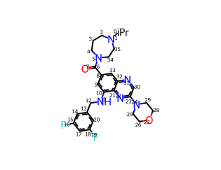 CC(C)N1CCCN(C(=O)c2cc(NCc3cc(F)cc(F)c3)c3nc(N4CCOCC4)cnc3c2)CC1